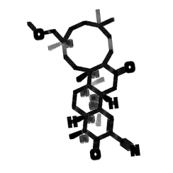 COC[C@@]1(C)CCC(C)(C)CCC2C(=O)C[C@@H]3[C@@]4(C)C=C(C#N)C(=O)[C@@H](C)[C@@H]4CC[C@@]3(C)[C@]2(C)CC1